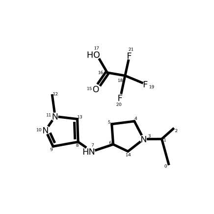 CC(C)N1CCC(Nc2cnn(C)c2)C1.O=C(O)C(F)(F)F